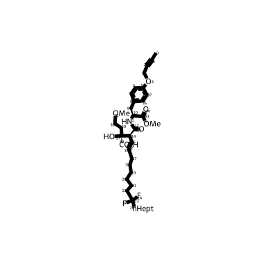 CC#CCOc1ccc(C[C@H](NC(=O)[C@@H](/C=C/CCCCCCC(F)(F)CCCCCCC)[C@@](O)(CCOC)C(=O)O)C(=O)OC)cc1